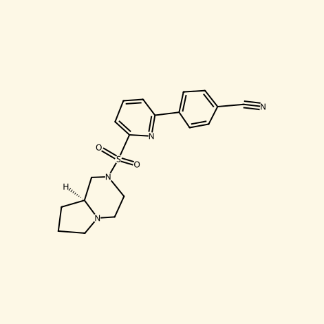 N#Cc1ccc(-c2cccc(S(=O)(=O)N3CCN4CCC[C@H]4C3)n2)cc1